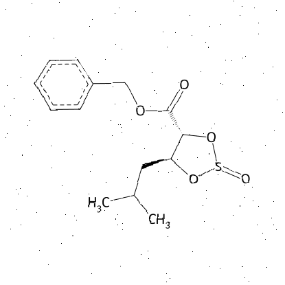 CC(C)C[C@@H]1OS(=O)O[C@H]1C(=O)OCc1ccccc1